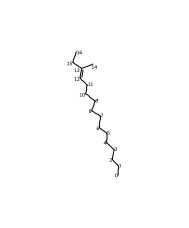 CCCCCCCCCCCC/C=C(\C)CC